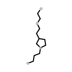 [O]CCCN1CCC(CCOCCCl)C1